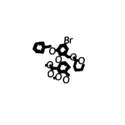 COC(=O)c1c(Oc2c(COC3CCCCO3)cc(Br)cc2OCc2ccccc2)ccc(C=O)c1OC